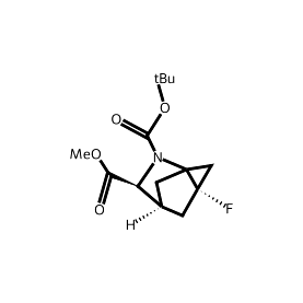 COC(=O)[C@@H]1[C@H]2CC3(C[C@@]3(F)C2)N1C(=O)OC(C)(C)C